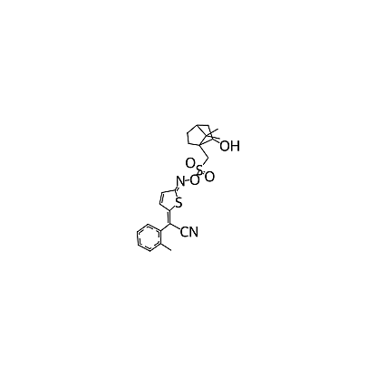 Cc1ccccc1/C(C#N)=C1\C=CC(=NOS(=O)(=O)CC23CCC(CC2O)C3(C)C)S1